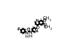 COc1cc2nccc(Oc3ccc(NC(=O)Nc4ccc(F)cc4)cn3)c2cc1OC